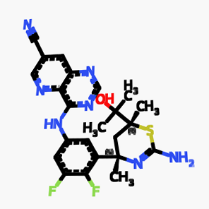 CC(C)(O)[C@@]1(C)C[C@@](C)(c2cc(Nc3ncnc4cc(C#N)cnc34)cc(F)c2F)N=C(N)S1